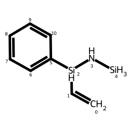 C=C[SiH](N[SiH3])c1ccccc1